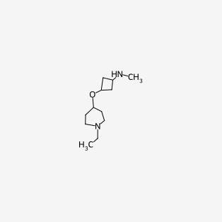 CCN1CCC(OC2CC(NC)C2)CC1